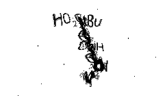 CN1CCC[C@H]1c1cncc(OCCNC(=O)COCCN(C(=O)O)C(C)(C)C)c1